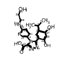 CC(C)c1cc(-c2nnc(C(=O)O)n2-c2ccc(NCCO)nc2)c(O)cc1O